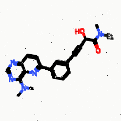 CCN(C)C(=O)[C@H](O)C#Cc1cccc(-c2ccc3ncnc(N(C)C)c3n2)c1